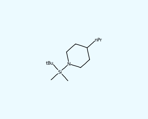 CCCC1CCN([Si](C)(C)C(C)(C)C)CC1